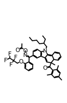 CCCCC(CC)Cn1c2c(c3cc(/C(=N\OC(C)=O)c4ccccc4OCC(F)(F)C(F)F)ccc31)=CC(C)(C(=O)c1c(C)cc(C)cc1C)C1C=CC=CC=21